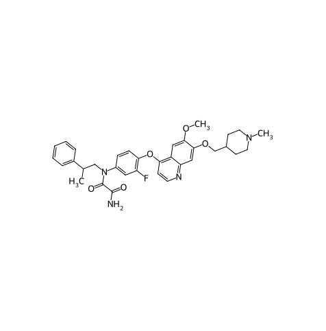 COc1cc2c(Oc3ccc(N(CC(C)c4ccccc4)C(=O)C(N)=O)cc3F)ccnc2cc1OCC1CCN(C)CC1